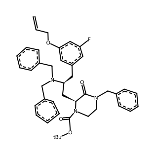 C=CCOc1cc(F)cc(C[C@@H](C[C@H]2C(=O)N(Cc3ccccc3)CCN2C(=O)OC(C)(C)C)N(Cc2ccccc2)Cc2ccccc2)c1